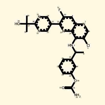 CC(Nc1c(Cl)cnc2cc(F)c(-c3cnc(C(C)(C)O)nc3)nc12)c1cccc(OC(N)=O)c1